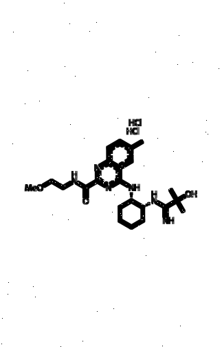 COCCNC(=O)c1nc(N[C@H]2CCCC[C@H]2NC(=N)C(C)(C)O)c2cc(C)ccc2n1.Cl.Cl